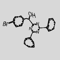 OC(c1ccc(Br)cc1)c1nc(-c2ccccc2)nc(-c2ccccc2)n1